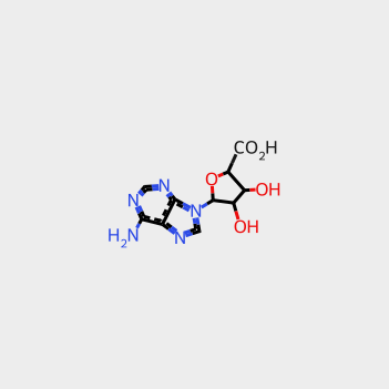 Nc1ncnc2c1ncn2C1OC(C(=O)O)C(O)C1O